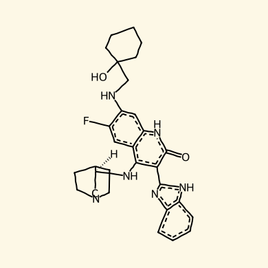 O=c1[nH]c2cc(NCC3(O)CCCCC3)c(F)cc2c(N[C@H]2CN3CCC2CC3)c1-c1nc2ccccc2[nH]1